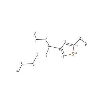 CCCCCC(CCC)c1csc(CC)c1